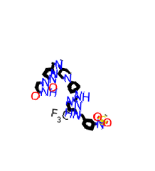 CN(Cc1ccc(N2CCC(=O)NC2=O)nn1)C1CCN(c2ccc(Nc3ncc(C(F)(F)F)c(NCc4cccc(N(C)S(C)(=O)=O)c4)n3)cc2)CC1